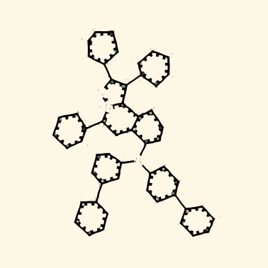 c1ccc(-c2ccc(N(c3cccc(-c4ccccc4)c3)c3cccc4c3cc(-c3ccccc3)n3nc(-c5ccccc5)c(-c5ccccc5)c43)cc2)cc1